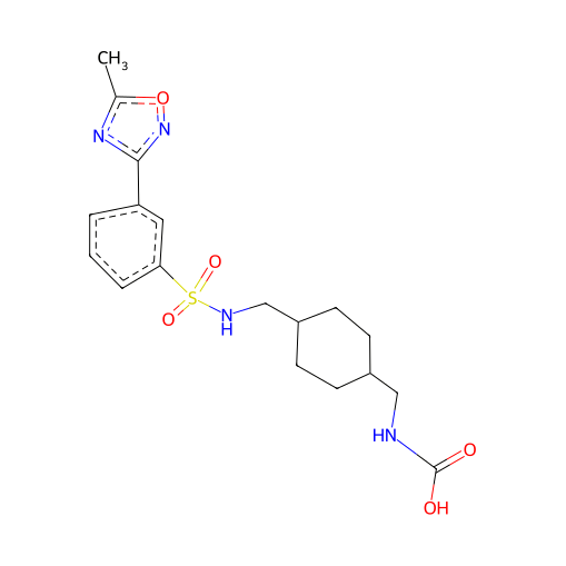 Cc1nc(-c2cccc(S(=O)(=O)NCC3CCC(CNC(=O)O)CC3)c2)no1